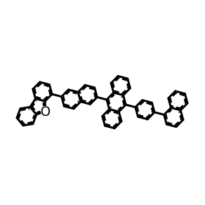 c1ccc2c(-c3ccc(-c4c5ccccc5c(-c5ccc6cc(-c7cccc8c7oc7ccccc78)ccc6c5)c5ccccc45)cc3)cccc2c1